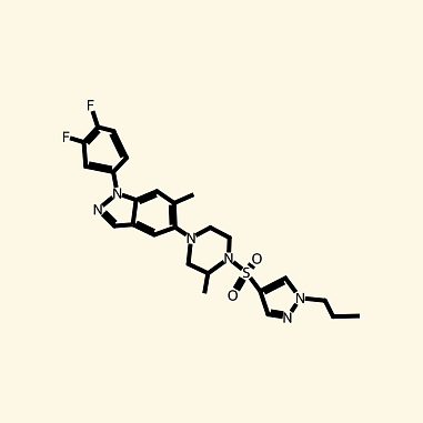 CCCn1cc(S(=O)(=O)N2CCN(c3cc4cnn(-c5ccc(F)c(F)c5)c4cc3C)CC2C)cn1